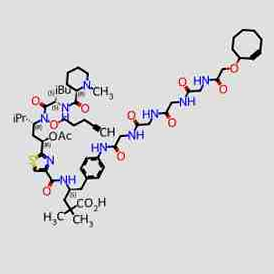 C#CCCCON(C(=O)[C@@H](NC(=O)[C@H]1CCCCN1C)[C@@H](C)CC)[C@H](C[C@@H](OC(C)=O)c1nc(C(=O)N[C@@H](Cc2ccc(NC(=O)CNC(=O)CNC(=O)CNC(=O)CNC(=O)COC3C#CCCCCC3)cc2)CC(C)(C)C(=O)O)cs1)C(C)C